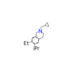 CCc1cc2c(cc1C(C)C)CCN(CC1CC1)C2